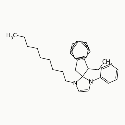 CCCCCCCCCN1C=CN(c2ccccc2)C1(Cc1ccccc1)C(CC)c1ccccc1